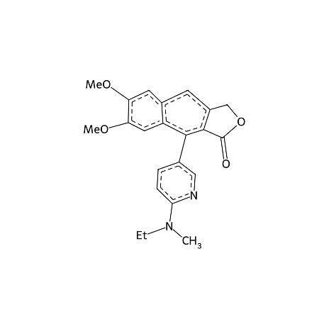 CCN(C)c1ccc(-c2c3c(cc4cc(OC)c(OC)cc24)COC3=O)cn1